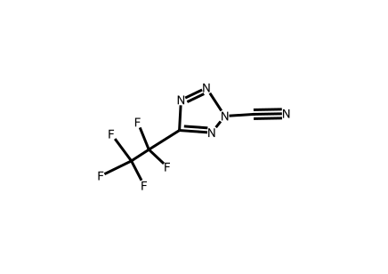 N#Cn1nnc(C(F)(F)C(F)(F)F)n1